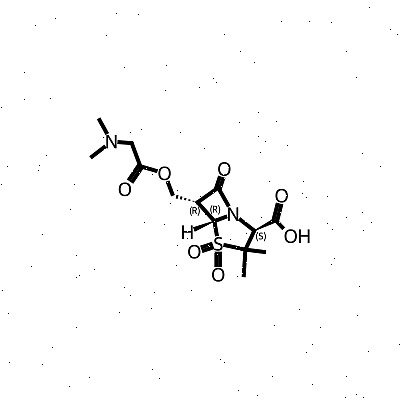 CN(C)CC(=O)OC[C@@H]1C(=O)N2[C@@H](C(=O)O)C(C)(C)S(=O)(=O)[C@H]12